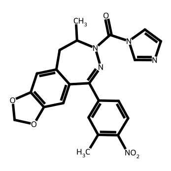 Cc1cc(C2=NN(C(=O)n3ccnc3)C(C)Cc3cc4c(cc32)OCO4)ccc1[N+](=O)[O-]